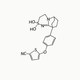 N#Cc1ccc(Oc2ccc(C34CCC(CC3)N3CCS(O)(O)N=C34)cc2)s1